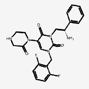 N[C@H](Cn1c(=O)c(N2CCNCC2=O)cn(Cc2c(F)cccc2F)c1=O)c1ccccc1